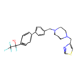 OC(F)(c1ccc(-c2ccc(CN3CCN(Cc4cscn4)CC3)cc2)cc1)C(F)(F)F